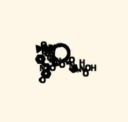 COc1ccc2c(O[C@@H]3C[C@H]4C(=O)N[C@]5(C(=O)NS(=O)(=O)C6CC6)CC5/C=C\CCCCC[C@H](CC(=O)N5CC[C@@H](CNC(=O)O)C5)C(=O)N4C3)cc(-c3ccccc3)nc2c1